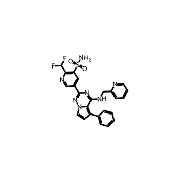 NS(=O)(=O)c1cc(-c2nc(NCc3ccccn3)c3c(-c4ccccc4)ccn3n2)cnc1C(F)F